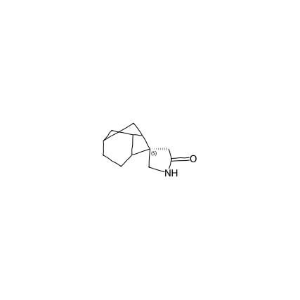 O=C1C[C@]2(CN1)C1CCC3CC1C2C3